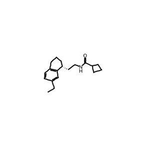 CCc1ccc2c(c1)[C@@H](CCNC(=O)C1CCC1)CCC2